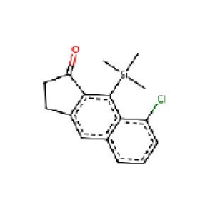 C[Si](C)(C)c1c2c(cc3cccc(Cl)c13)CCC2=O